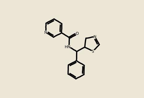 O=C(NC(c1ccccc1)C1CN=CS1)c1cccnc1